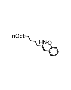 CCCCCCCCCCCCC1=Cc2ccccc2ON1